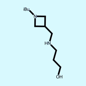 CCC(C)N1CC(CNCCCO)C1